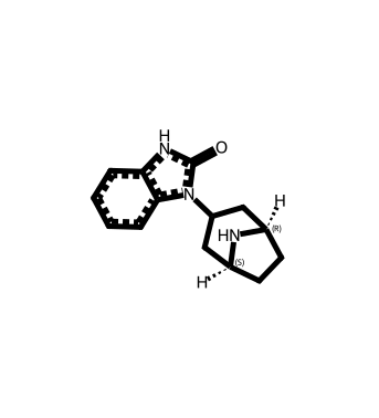 O=c1[nH]c2ccccc2n1C1C[C@H]2CC[C@@H](C1)N2